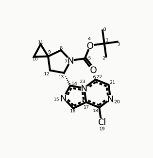 CC(C)(C)OC(=O)N1CC2(CC2)C[C@H]1c1ncc2c(Cl)nccn12